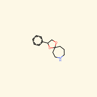 c1ccc(C2COC3(CCCNCC3)O2)cc1